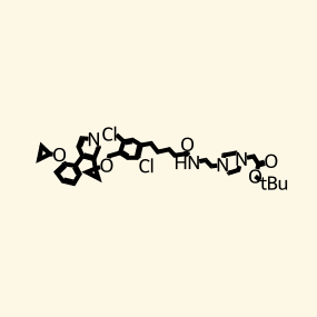 CC(C)(C)OC(=O)CN1CCN(CCNC(=O)CCCCc2cc(Cl)c(COC3(c4cnccc4-c4ccccc4OC4CC4)CC3)cc2Cl)CC1